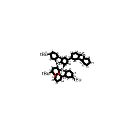 CC(C)(C)c1ccc2c(c1)B1c3cc(C(C)(C)C)ccc3N(c3ccc(C(C)(C)C)cc3-c3ccccc3)c3cc(-c4ccc5sc6ccccc6c5c4)cc-2c31